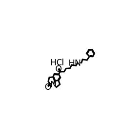 Cl.O=C(CCCCCNCCCc1ccccc1)c1cc2c3c(c1)CCN3C(=O)CC2